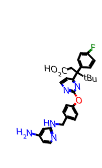 CC(C)(C)C(CC(=O)O)(c1ccc(F)cc1)c1ccnc(Oc2ccc(CNc3cc(N)ccn3)cc2)n1